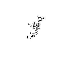 COC(=O)[C@H]1C[C@@H](NC(=O)[C@@]2(C(C)(F)F)CC(c3cc(F)cc(F)c3)=NO2)CO1